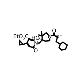 CCOC(=O)c1cn(C[C@]2(O)CCN(C(=O)[C@H](C)CC3CCCCC3)CC2(C)C)c(=O)cc1C1CC1